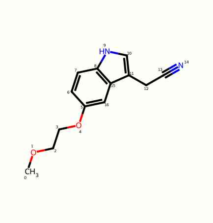 COCCOc1ccc2[nH]cc(CC#N)c2c1